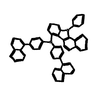 c1ccc(-n2c3cccc(N(c4ccc(-c5cccc6ccccc56)cc4)c4ccc(-c5cccc6ccccc56)cc4)c3c3ccc4ccccc4c32)cc1